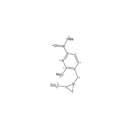 CCOC(=O)C1CN1Cc1ccc(C(=O)OC)nc1OC